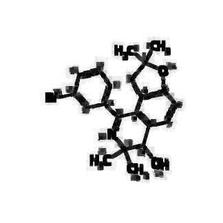 CC1(C)Cc2c(ccc3c2C(c2cccc(Br)c2)=NC(C)(C)C3O)O1